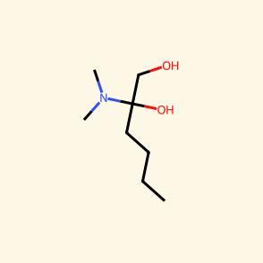 CCCCC(O)(CO)N(C)C